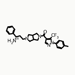 Cc1ccc(-n2ncc(C(=O)N3CC4CN(CC[C@H](N)c5ccccc5)CC4C3)c2C(F)(F)F)cc1